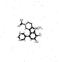 CCC(=O)N1CCc2c(c3c(-c4cncnc4)cc(Cl)c(Cl)c3n2C)C1